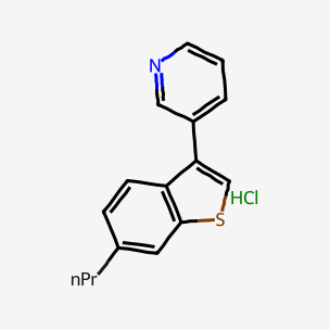 CCCc1ccc2c(-c3cccnc3)csc2c1.Cl